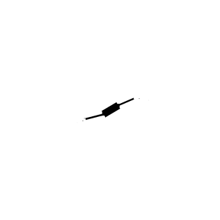 [SiH3]C#C[SiH3]